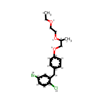 CCOCCOC(C)COc1ccc(Cc2cc(Br)ccc2Cl)cc1